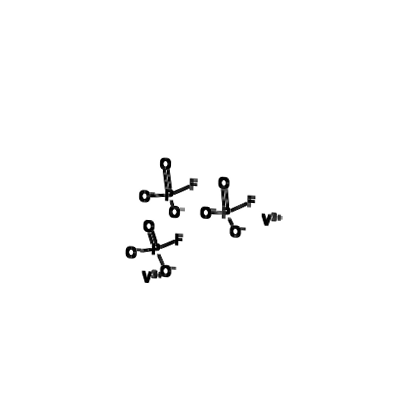 O=P([O-])([O-])F.O=P([O-])([O-])F.O=P([O-])([O-])F.[V+3].[V+3]